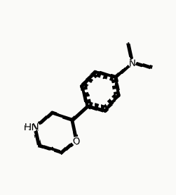 CN(C)c1ccc(C2CNCCO2)cc1